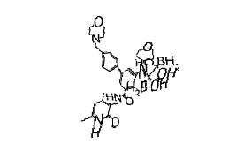 BC(O)(O)C(B)(O)N(c1cc(-c2ccc(CN3CCOCC3)cc2)cc(C(=O)NCc2c(C)cc(C)[nH]c2=O)c1C)C1CCOCC1